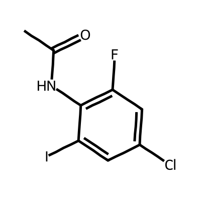 CC(=O)Nc1c(F)cc(Cl)cc1I